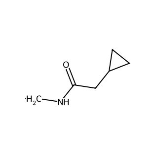 [CH2]NC(=O)CC1CC1